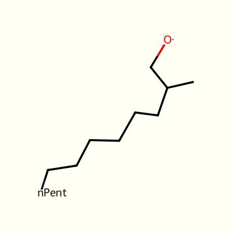 CCCCCCCCCCCC(C)C[O]